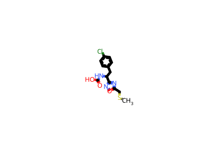 CSCc1nc(C(Cc2ccc(Cl)cc2)NC(=O)O)no1